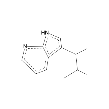 CC(C)C(C)c1c[nH]c2ncccc12